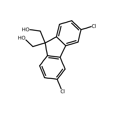 OCC1(CO)c2ccc(Cl)cc2-c2cc(Cl)ccc21